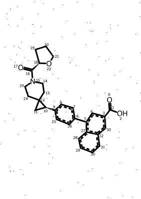 O=C(O)c1cc(-c2ccc([C@H]3CC34CCN(C(=O)[C@H]3CCCO3)CC4)cc2)c2ccccc2c1